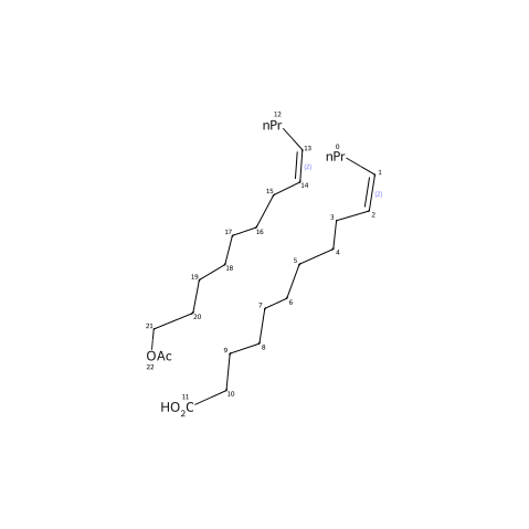 CCC/C=C\CCCCCCCCC(=O)O.CCC/C=C\CCCCCCCOC(C)=O